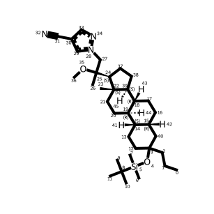 CCCC1(O[Si](C)(C)C(C)(C)C)CC[C@H]2[C@H](CC[C@@H]3[C@@H]2CC[C@]2(C)[C@@H](C(C)(Cn4cc(C#N)cn4)OC)CC[C@@H]32)C1